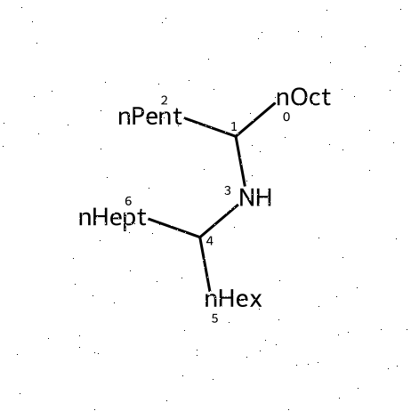 CCCCCCCCC(CCCCC)NC(CCCCCC)CCCCCCC